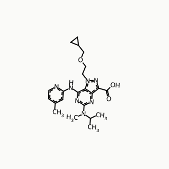 Cc1ccnc(Nc2nc(N(C)C(C)C)nc3c(C(=O)O)nn(CCOCC4CC4)c23)c1